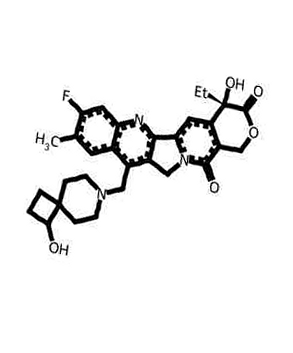 CC[C@@]1(O)C(=O)OCc2c1cc1n(c2=O)Cc2c-1nc1cc(F)c(C)cc1c2CN1CCC2(CCC2O)CC1